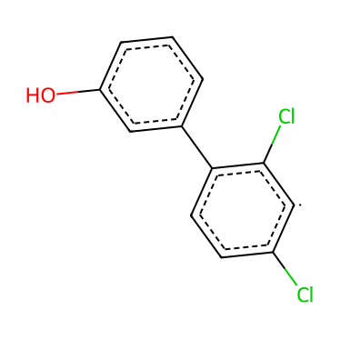 Oc1cccc(-c2ccc(Cl)[c]c2Cl)c1